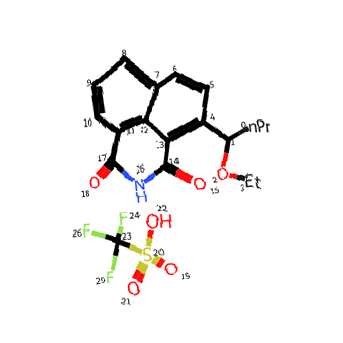 CCCC(OCC)c1ccc2cccc3c2c1C(=O)NC3=O.O=S(=O)(O)C(F)(F)F